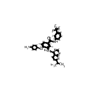 CC(C)c1ccc2c(Nc3cc(C(=O)Nc4cccc(C(F)(F)F)c4)ccc3Oc3ccc(N)cc3)ncnc2n1